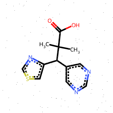 CC(C)(C(=O)O)C(c1cncnc1)c1cscn1